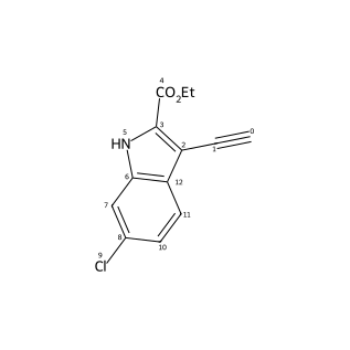 C#Cc1c(C(=O)OCC)[nH]c2cc(Cl)ccc12